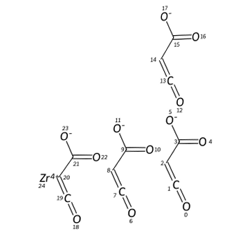 O=C=CC(=O)[O-].O=C=CC(=O)[O-].O=C=CC(=O)[O-].O=C=CC(=O)[O-].[Zr+4]